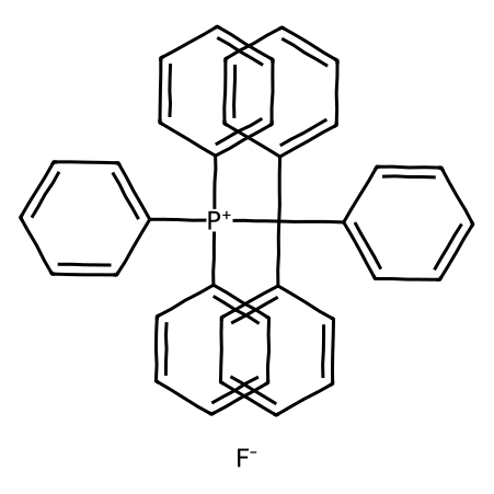 [F-].c1ccc(C(c2ccccc2)(c2ccccc2)[P+](c2ccccc2)(c2ccccc2)c2ccccc2)cc1